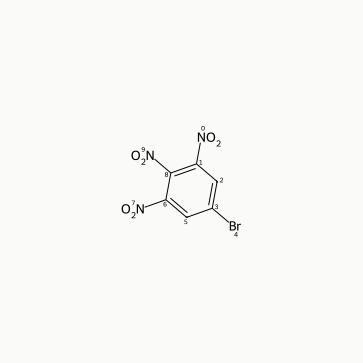 O=[N+]([O-])c1cc(Br)cc([N+](=O)[O-])c1[N+](=O)[O-]